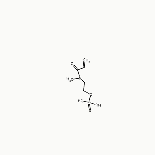 C=CC(=O)N(C)CCOP(O)(O)=S